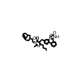 CCCCc1nc(C)n(CC(O)C2CC3CC4CC(C3)C(C4)C2)c(=O)c1Cc1ccc(-c2ccccc2-c2noc(=O)[nH]2)cc1